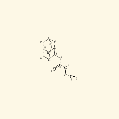 CCOC(=O)CC1C2CC3CC(C2)CC1C3